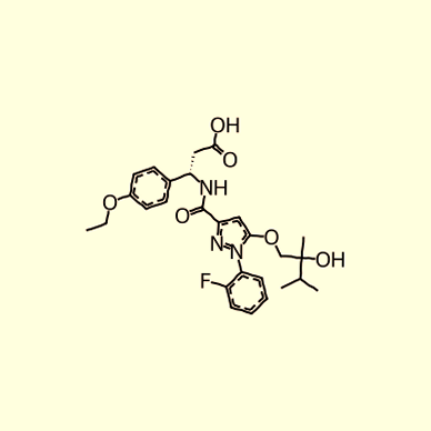 CCOc1ccc([C@H](CC(=O)O)NC(=O)c2cc(OCC(C)(O)C(C)C)n(-c3ccccc3F)n2)cc1